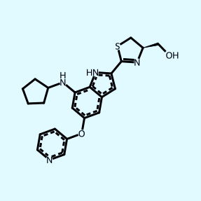 OC[C@@H]1CSC(c2cc3cc(Oc4cccnc4)cc(NC4CCCC4)c3[nH]2)=N1